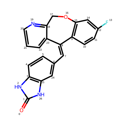 O=c1[nH]c2ccc(/C=C3/c4ccc(F)cc4OCc4ncccc43)cc2[nH]1